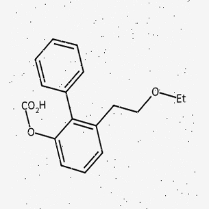 CCOCCc1cccc(OC(=O)O)c1-c1ccccc1